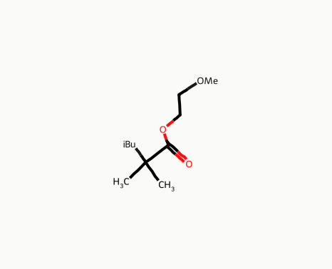 CCC(C)C(C)(C)C(=O)OCCOC